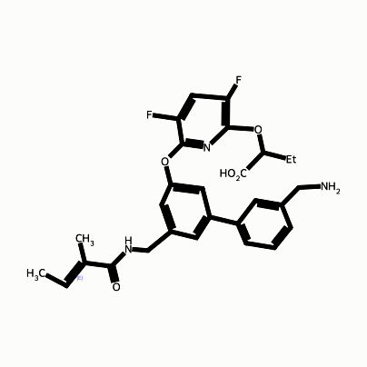 C/C=C(\C)C(=O)NCc1cc(Oc2nc(OC(CC)C(=O)O)c(F)cc2F)cc(-c2cccc(CN)c2)c1